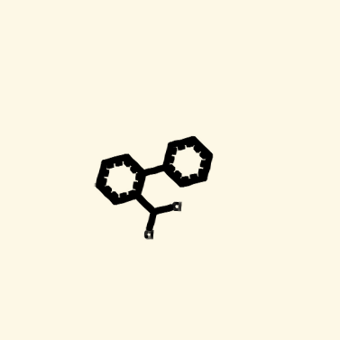 ClC(Cl)c1c[c]ccc1-c1ccccc1